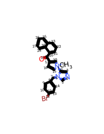 C[N+]1(c2cncn2Cc2ccc(Br)cc2)C=CC(C(=O)c2cccc3ccccc23)=C1